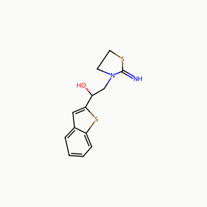 N=C1SCCN1CC(O)c1cc2ccccc2s1